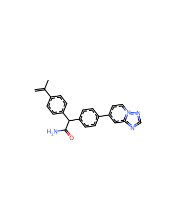 C=C(C)c1ccc(C(C(N)=O)c2ccc(-c3ccn4ncnc4c3)cc2)cc1